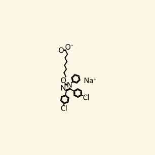 O=C([O-])CCCCCCCOc1nc(-c2ccc(Cl)cc2)c(-c2ccc(Cl)cc2)n1-c1ccccc1.[Na+]